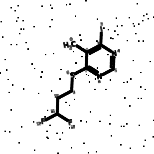 Cc1c(I)ncnc1SCCC(F)F